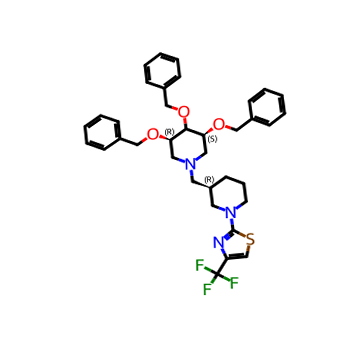 FC(F)(F)c1csc(N2CCC[C@H](CN3C[C@H](OCc4ccccc4)C(OCc4ccccc4)[C@H](OCc4ccccc4)C3)C2)n1